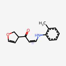 Cc1ccccc1N/C=C\C(=O)C1C=COC1